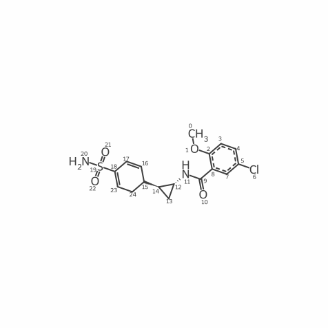 COc1ccc(Cl)cc1C(=O)N[C@@H]1C[C@H]1C1C=CC(S(N)(=O)=O)=CC1